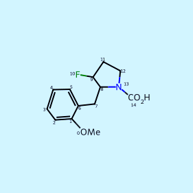 COc1ccccc1CC1C(F)CCN1C(=O)O